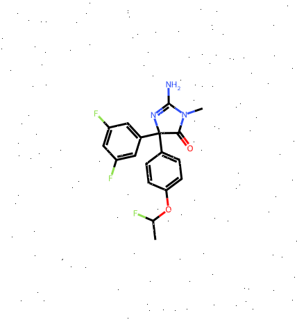 CC(F)Oc1ccc(C2(c3cc(F)cc(F)c3)N=C(N)N(C)C2=O)cc1